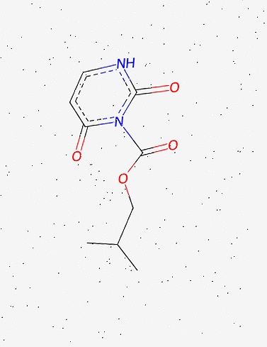 CC(C)COC(=O)n1c(=O)cc[nH]c1=O